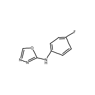 Fc1ccc(Nc2nnco2)cc1